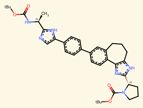 C[C@H](NC(=O)OC(C)(C)C)c1ncc(-c2ccc(-c3ccc4c(c3)CCCc3[nH]c([C@@H]5CCCN5C(=O)OC(C)(C)C)nc3-4)cc2)[nH]1